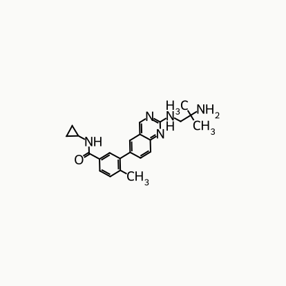 Cc1ccc(C(=O)NC2CC2)cc1-c1ccc2nc(NCC(C)(C)N)ncc2c1